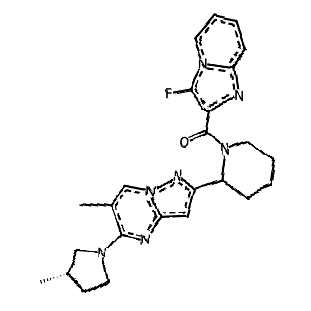 Cc1cn2nc(C3CCCCN3C(=O)c3nc4ccccn4c3F)cc2nc1N1CC[C@H](C)C1